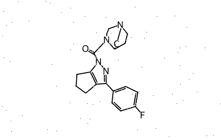 O=C(N1CCN2CCC1CC2)n1nc(-c2ccc(F)cc2)c2c1CCC2